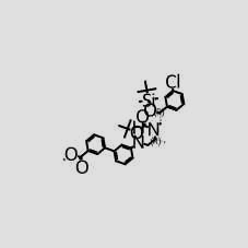 COC(=O)c1cccc(-c2cccc(NC[C@@H](C)N(C[C@H](O[Si](C)(C)C(C)(C)C)c3cccc(Cl)c3)C(=O)OC(C)(C)C)c2)c1